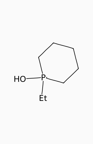 CC[P]1(O)CCCCC1